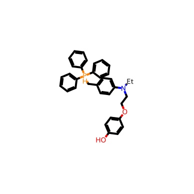 CCN(CCOc1ccc(O)cc1)c1ccc(C[PH](c2ccccc2)(c2ccccc2)c2ccccc2)cc1